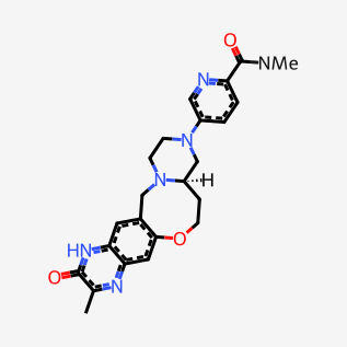 CNC(=O)c1ccc(N2CCN3Cc4cc5[nH]c(=O)c(C)nc5cc4OCC[C@@H]3C2)cn1